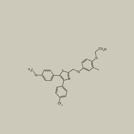 Cc1cc(OCc2nc(-c3ccc(C(F)(F)F)cc3)c(-c3ccc(OC(F)(F)F)cc3)s2)ccc1OCC(=O)O